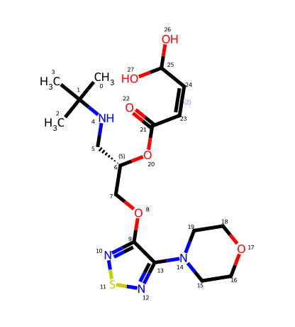 CC(C)(C)NC[C@@H](COc1nsnc1N1CCOCC1)OC(=O)/C=C\C(O)O